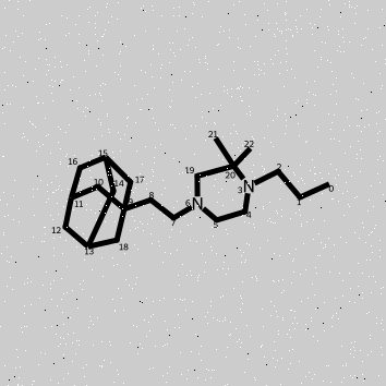 CCCN1CCN(CCC23CC4CC(CC(C4)C2)C3)CC1(C)C